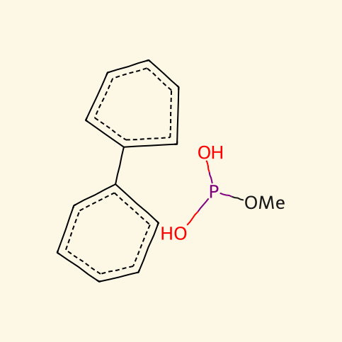 COP(O)O.c1ccc(-c2ccccc2)cc1